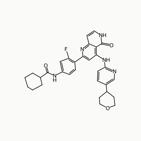 O=C(Nc1ccc(-c2cc(Nc3ccc(C4CCOCC4)cn3)c3c(=O)[nH]ccc3n2)c(F)c1)C1CCCCC1